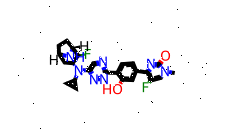 Cn1cc(F)c(-c2ccc(-c3ncc(N(C4CC4)[C@H]4C[C@@H]5CC[C@@H](N5)[C@H]4F)nn3)c(O)c2)nc1=O